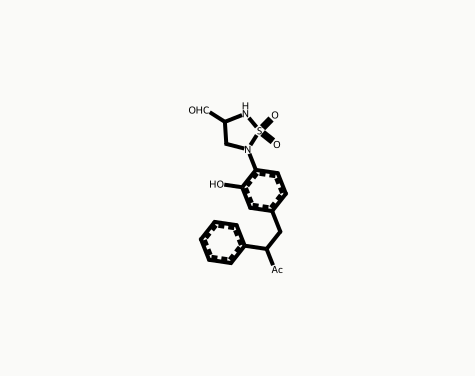 CC(=O)C(Cc1ccc(N2CC(C=O)NS2(=O)=O)c(O)c1)c1ccccc1